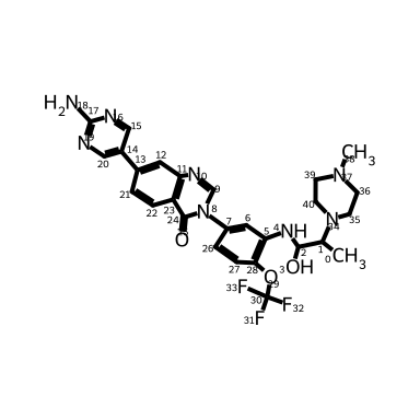 CC(C(O)Nc1cc(-n2cnc3cc(-c4cnc(N)nc4)ccc3c2=O)ccc1OC(F)(F)F)N1CCN(C)CC1